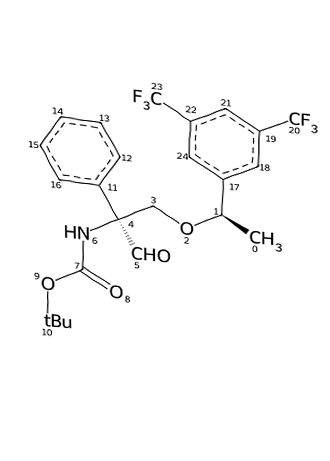 C[C@@H](OC[C@@](C=O)(NC(=O)OC(C)(C)C)c1ccccc1)c1cc(C(F)(F)F)cc(C(F)(F)F)c1